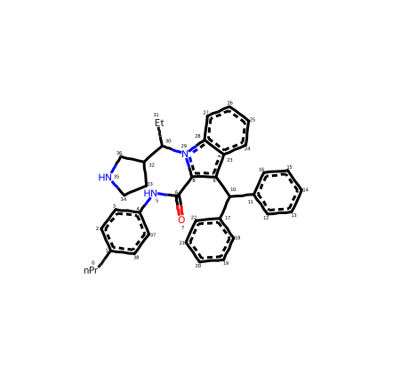 CCCc1ccc(NC(=O)c2c(C(c3ccccc3)c3ccccc3)c3ccccc3n2C(CC)C2CCNC2)cc1